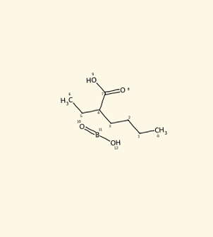 CCCCC(CC)C(=O)O.O=BO